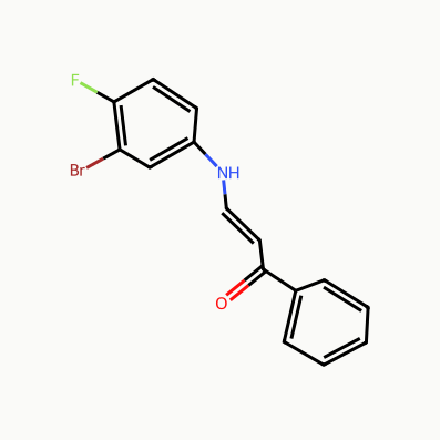 O=C(C=CNc1ccc(F)c(Br)c1)c1ccccc1